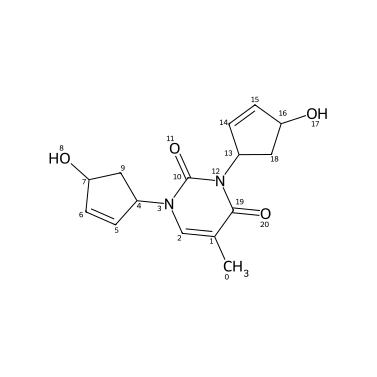 Cc1cn(C2C=CC(O)C2)c(=O)n(C2C=CC(O)C2)c1=O